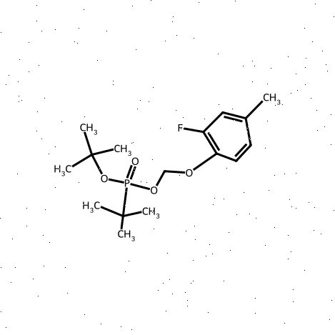 Cc1ccc(OCOP(=O)(OC(C)(C)C)C(C)(C)C)c(F)c1